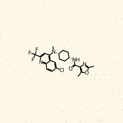 Cc1nc(C(=O)N[C@H]2CC[C@@H](N(C)c3cc(C(F)(F)F)nc4ccc(Cl)cc34)CC2)c(C)o1